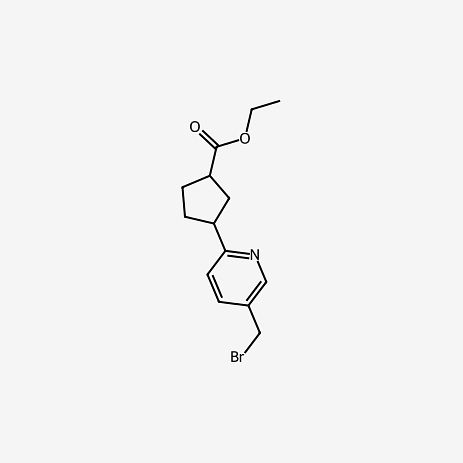 CCOC(=O)C1CCC(c2ccc(CBr)cn2)C1